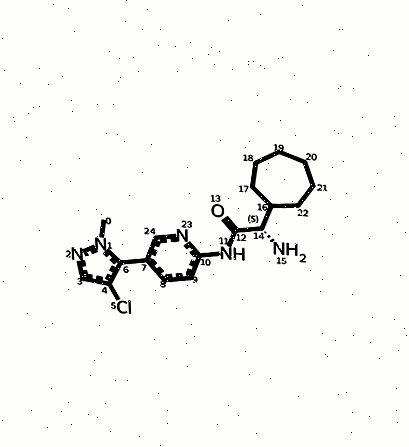 Cn1ncc(Cl)c1-c1ccc(NC(=O)[C@@H](N)C2CCCCCC2)nc1